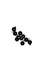 Cc1ccc2oc3ccc(N(C4=CC5=C(CC(C)(N(c6ccccc6)c6ccc7oc8ccc(C)cc8c7c6)c6ccccc65)C5C=CC=CC45)c4ccccc4)cc3c2c1